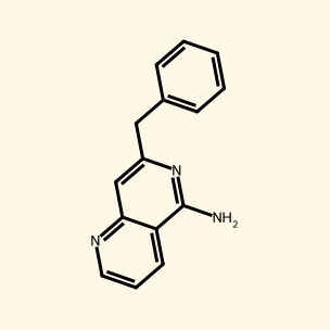 Nc1nc(Cc2ccccc2)cc2ncccc12